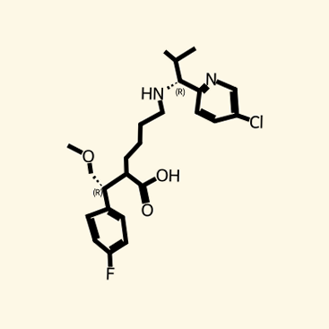 COC[C@@H](c1ccc(F)cc1)C(CCCCN[C@@H](c1ccc(Cl)cn1)C(C)C)C(=O)O